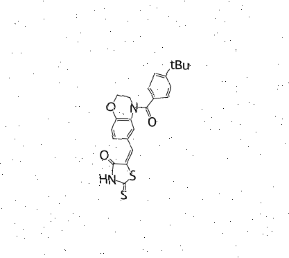 CC(C)(C)c1ccc(C(=O)N2CCOc3ccc(C=C4SC(=S)NC4=O)cc32)cc1